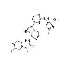 CCC(C(=O)Nc1nccc2c(-c3nc(Nc4cn(C)nc4OC)ncc3C)c[nH]c12)N1CCN(C)C(F)C1